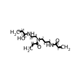 C=CC(=O)NCCCN(CCNC(O)C=C)C(=O)C=C